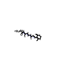 C=C1CCCC(C)=C1/C=C/C(C)=C/C=C/C(C)=C/C(=O)NCCCC